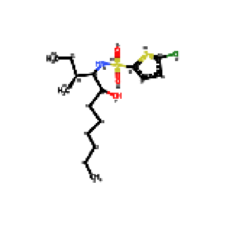 CCCCCCC(O)C(NS(=O)(=O)c1ccc(Cl)s1)[C@@H](C)CC